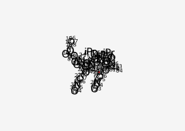 CC(C)CC[C@@H](C(=O)O[C@H](C)C(=O)OCc1ccccc1)N(C)C(=O)[C@@H](CCc1ccc(N2CCOCC2)cc1)OC(=O)[C@H](CC1CC1)N(C)C(=O)[C@@H](C)OC(=O)[C@H](CC(C)C)N(C)C(=O)[C@@H](CCc1ccc(N2CCOCC2)cc1)OC(=O)[C@H](CC1CC1)N(C)C(=O)OC(C)(C)C